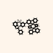 O=S1(=O)c2cc(-c3ccc4c(c3)C3(c5ccccc5-4)c4ccccc4C4(c5ccccc5-c5ccccc54)c4ccccc43)ccc2-n2c(-c3ccccc3)nc3cccc1c32